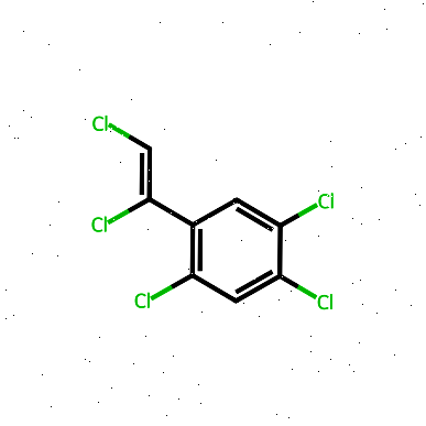 ClC=C(Cl)c1cc(Cl)c(Cl)cc1Cl